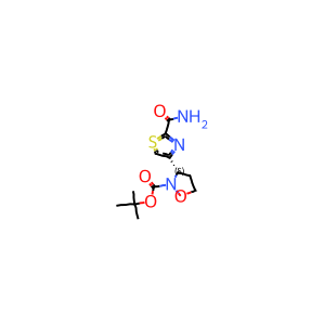 CC(C)(C)OC(=O)N1OCC[C@H]1c1csc(C(N)=O)n1